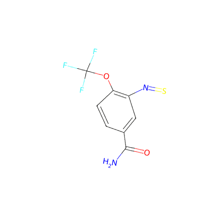 NC(=O)c1ccc(OC(F)(F)F)c(N=S)c1